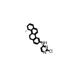 C[C@@H]1CC=Cc2ccc3c(c21)CCc1ccc(Nc2ccnc(Cl)n2)cc1-3